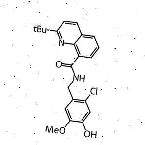 COc1cc(CNC(=O)c2cccc3ccc(C(C)(C)C)nc23)c(Cl)cc1O